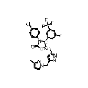 Cc1ccn(Cc2cn(C[C@@H]3OC(=O)N(c4ccc(Cl)cc4)[C@H]3c3cc(F)cc(C(F)(F)F)c3)nn2)n1